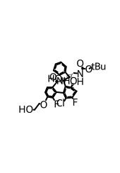 CC(C)(C)OC(=O)NC[C@]1(c2ccccc2)Oc2cc(F)c(Cl)c(-c3c(C(N)=O)ccc(OCCO)c3F)c2[C@@H]1O